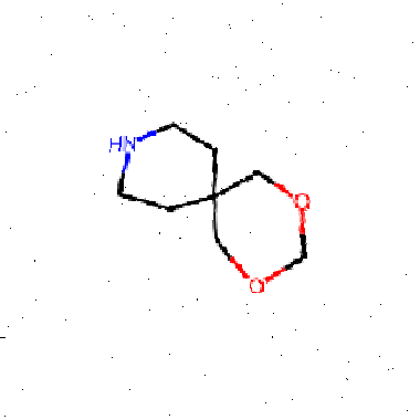 C1CC2(CCN1)COCOC2